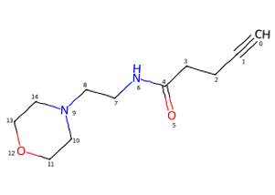 C#CCCC(=O)NCCN1CCOCC1